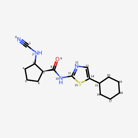 N#CNC1CCC[C@@H]1C(=O)Nc1ncc(C2CCCCC2)s1